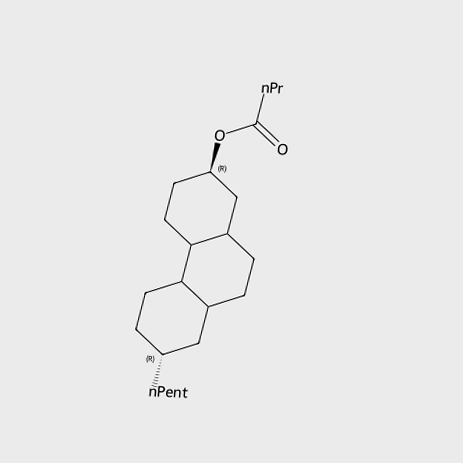 CCCCC[C@@H]1CCC2C(CCC3C[C@H](OC(=O)CCC)CCC32)C1